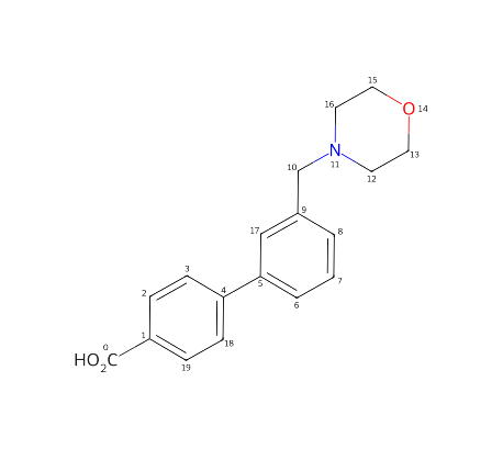 O=C(O)c1ccc(-c2cccc(CN3CCOCC3)c2)cc1